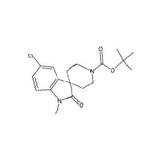 CN1C(=O)C2(CCN(C(=O)OC(C)(C)C)CC2)c2cc(Cl)ccc21